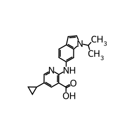 CC(C)n1ccc2ccc(Nc3ncc(C4CC4)cc3C(=O)O)cc21